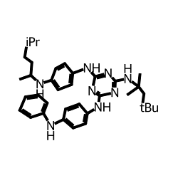 CC(C)CCC(C)Nc1ccc(Nc2nc(Nc3ccc(Nc4ccccc4)cc3)nc(NC(C)(C)CC(C)(C)C)n2)cc1